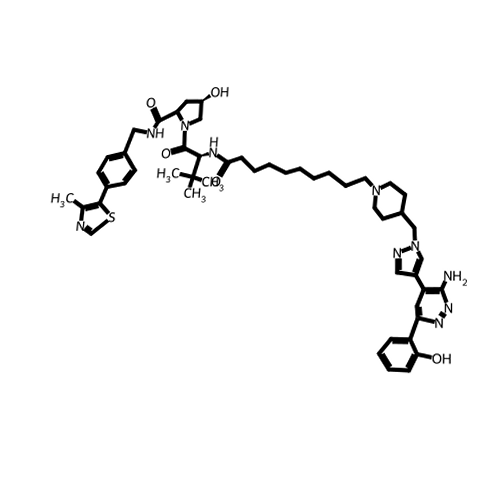 Cc1ncsc1-c1ccc(CNC(=O)C2C[C@@H](O)CN2C(=O)[C@@H](NC(=O)CCCCCCCCCN2CCC(Cn3cc(-c4cc(-c5ccccc5O)nnc4N)cn3)CC2)C(C)(C)C)cc1